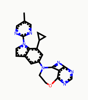 Cc1cnc(-n2ccc3cc(N4CCOc5ncnc6c5C4=N6)cc(C4CC4)c32)nc1